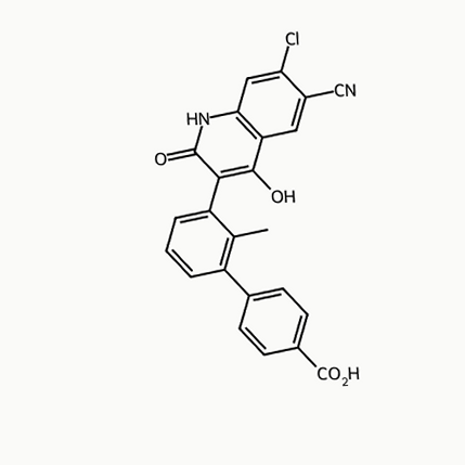 Cc1c(-c2ccc(C(=O)O)cc2)cccc1-c1c(O)c2cc(C#N)c(Cl)cc2[nH]c1=O